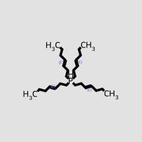 CCC/C=C/CC[PH](CC/C=C/CCC)(CC/C=C/CCC)CC/C=C/CCC